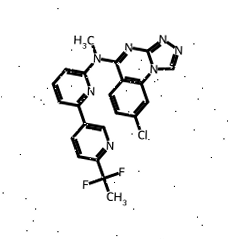 CN(c1cccc(-c2ccc(C(C)(F)F)nc2)n1)c1nc2nncn2c2cc(Cl)ccc12